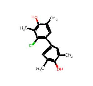 Cc1cc(-c2cc(C)c(O)c(C)c2Cl)cc(C)c1O